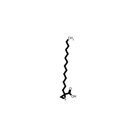 CCCCCCCCCCCCCCC1(C(=O)O)CS1